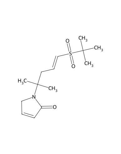 CC(C)(C/C=C/S(=O)(=O)C(C)(C)C)N1CC=CC1=O